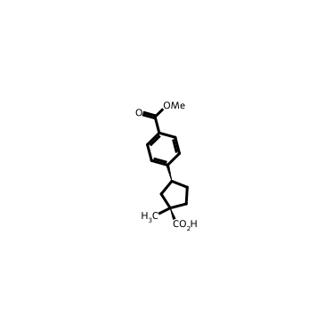 COC(=O)c1ccc([C@H]2CC[C@@](C)(C(=O)O)C2)cc1